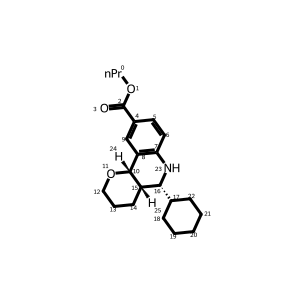 CCCOC(=O)c1ccc2c(c1)[C@H]1OCCC[C@H]1[C@@H](C1CCCCC1)N2